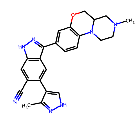 Cc1n[nH]cc1-c1cc2c(-c3ccc4c(c3)OCC3CN(C)CCN43)n[nH]c2cc1C#N